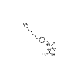 CCCCCCCCc1ccc(CNC(=O)C2(NC(=N)N)CC2)cc1